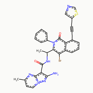 Cc1ccn2nc(N)c(C(=O)NC(C)c3c(Br)c4cccc(C#Cc5cncs5)c4c(=O)n3-c3ccccc3)c2n1